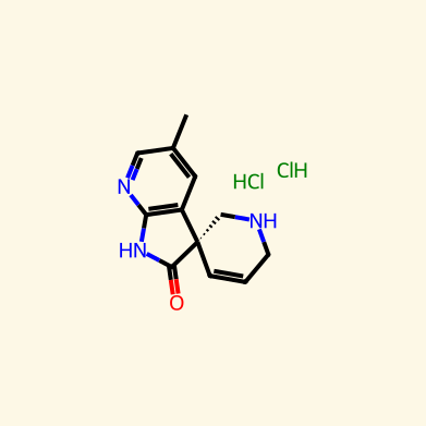 Cc1cnc2c(c1)[C@@]1(C=CCNC1)C(=O)N2.Cl.Cl